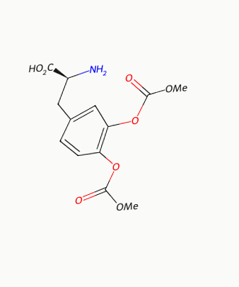 COC(=O)Oc1ccc(C[C@H](N)C(=O)O)cc1OC(=O)OC